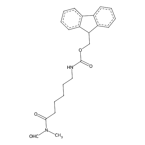 CN(C=O)C(=O)CCCCCNC(=O)OCC1c2ccccc2-c2ccccc21